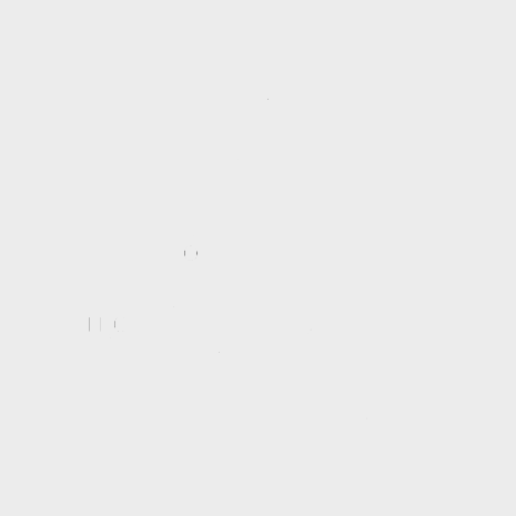 CC1CC2c3ccccc3Cc3ccccc3C2O1